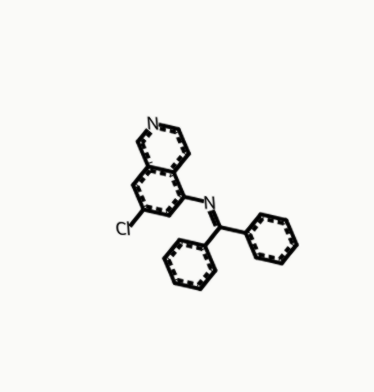 Clc1cc(N=C(c2ccccc2)c2ccccc2)c2ccncc2c1